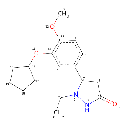 CCN1NC(=O)CC1c1ccc(OC)c(OC2CCCC2)c1